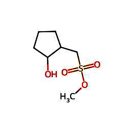 COS(=O)(=O)CC1CCCC1O